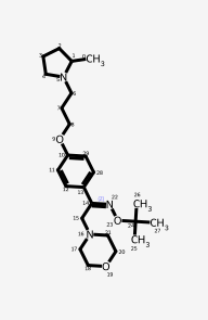 CC1CCCN1CCCOc1ccc(/C(CN2CCOCC2)=N/OC(C)(C)C)cc1